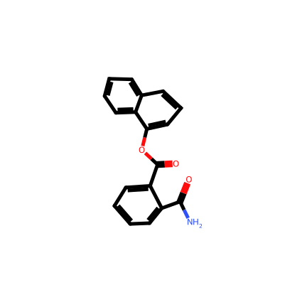 NC(=O)c1ccccc1C(=O)Oc1cccc2ccccc12